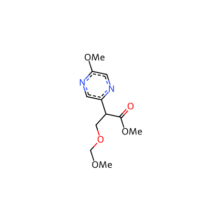 COCOCC(C(=O)OC)c1cnc(OC)cn1